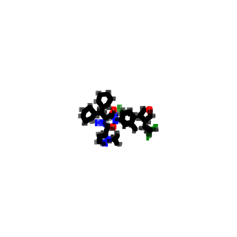 Cc1cc(NC(=O)[C@@H](NC(=O)c2ccnn2C(C)C)C(C2CCCCC2)C2CCCCC2)c(F)cc1[C@@H]1COC[C@H]1C=C(F)F